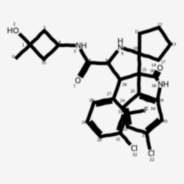 CC1(O)CC(NC(=O)C2NC3(CCCC3)C3(C(=O)Nc4cc(Cl)ccc43)C2c2cccc(Cl)c2F)C1